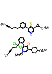 CCC#CCCC(Cl)(Cl)c1ccccc1-c1cn(OC)cc(C2CCC(OC)CC2)c1=O.CCCC#CCCCc1cccc(-c2cn(C)cc(C3CC3OC)c2=S)c1